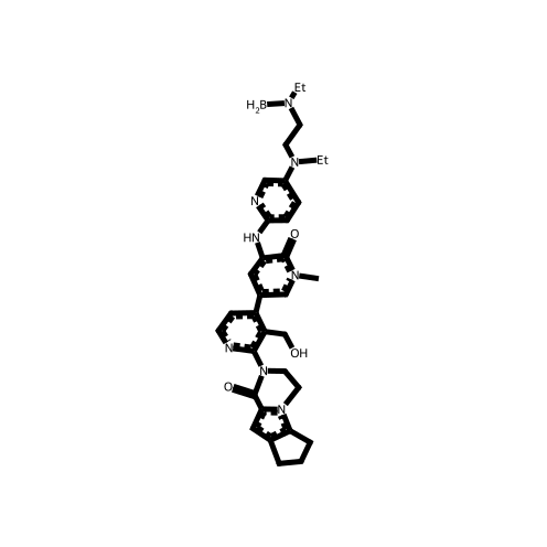 BN(CC)CCN(CC)c1ccc(Nc2cc(-c3ccnc(N4CCn5c(cc6c5CCC6)C4=O)c3CO)cn(C)c2=O)nc1